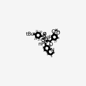 CCCc1ccc2cccnc2c1OC(C(=O)NS(=O)(=O)c1ccc(C(C)(C)C)cc1)c1ccc2c(c1)OCO2